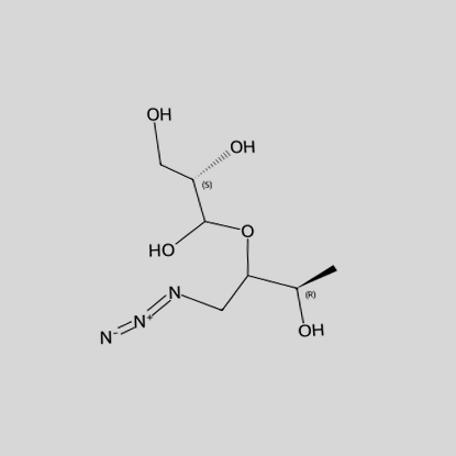 C[C@@H](O)C(CN=[N+]=[N-])OC(O)[C@@H](O)CO